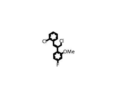 COc1cc(F)ccc1C(=Cc1ccccc1Cl)CCl